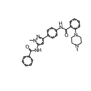 CN1CCN(c2ccccc2C(=O)Nc2ccc(-c3cc(NC(=O)c4ccccc4)n(C)n3)cc2)CC1